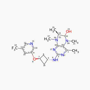 Cc1nc(N[C@H]2C[C@H](Oc3cncc(C(F)(F)F)c3)C2)nc2c1N(C)C(O)[C@H](C)N2C